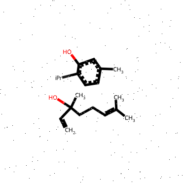 C=CC(C)(O)CCC=C(C)C.Cc1ccc(C(C)C)c(O)c1